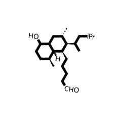 CC(C)CC(C)[C@H]1[C@@H](CCCCC=O)[C@H]2C(C[C@@H]1C)C(O)CC[C@@H]2C